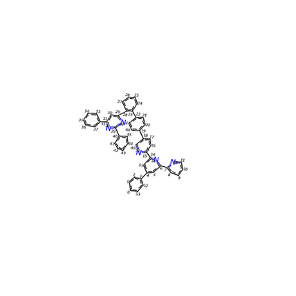 c1ccc(-c2cc(-c3ccccn3)nc(-c3ccc(-c4ccc(-c5ccccc5-c5cc(-c6ccccc6)nc(-c6ccccc6)n5)cc4)cn3)c2)cc1